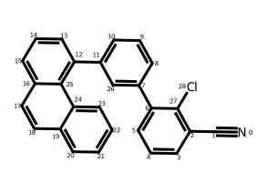 N#Cc1cccc(-c2cccc(-c3cccc4ccc5ccccc5c34)c2)c1Cl